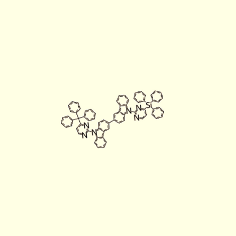 c1ccc(C(c2ccccc2)(c2ccccc2)c2ccnc(-n3c4ccccc4c4cc(-c5ccc6c(c5)c5ccccc5n6-c5nccc([Si](c6ccccc6)(c6ccccc6)c6ccccc6)n5)ccc43)n2)cc1